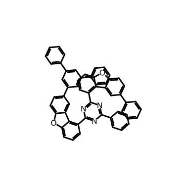 c1ccc(-c2cc(-c3ccccc3)cc(-c3ccc4oc5cccc(-c6nc(-c7ccccc7)nc(-c7cccc8oc9ccc(-c%10ccccc%10)cc9c78)n6)c5c4c3)c2)cc1